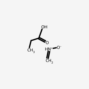 C=[NH+][O-].CCC(=O)O